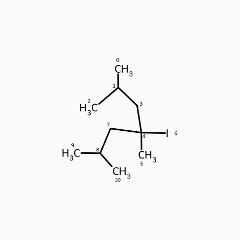 CC(C)CC(C)(I)CC(C)C